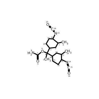 CC1CC(C(C)(OC(N)=O)C2CCC(N=C=O)C(C)C2)CCC1N=C=O